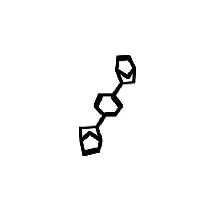 C1=CC2CC1CC2c1ccc(C2CC3C=CC2C3)cc1